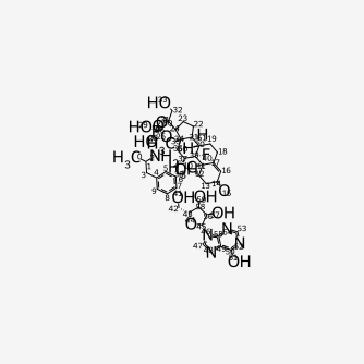 CC(N)Cc1ccccc1.C[C@]12CCC(=O)C=C1CC[C@H]1[C@@H]3CC[C@](OP(=O)(O)O)(C(=O)CO)[C@@]3(C)C[C@H](O)[C@@]12F.OC[C@H]1O[C@@H](n2cnc3c(O)ncnc32)[C@H](O)[C@@H]1O